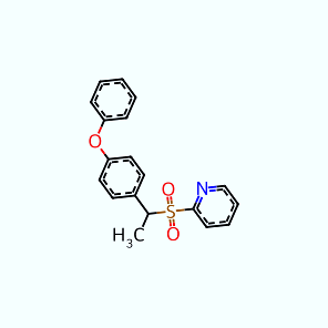 CC(c1ccc(Oc2ccccc2)cc1)S(=O)(=O)c1ccccn1